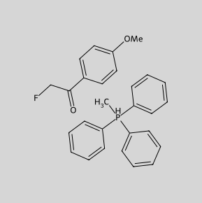 COc1ccc(C(=O)CF)cc1.C[PH](c1ccccc1)(c1ccccc1)c1ccccc1